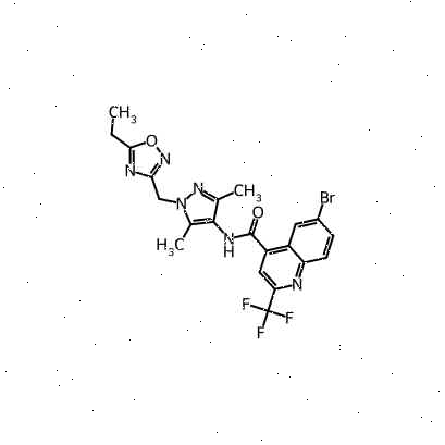 CCc1nc(Cn2nc(C)c(NC(=O)c3cc(C(F)(F)F)nc4ccc(Br)cc34)c2C)no1